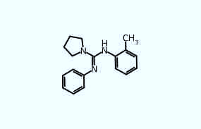 Cc1ccccc1NC(=Nc1ccccc1)N1CCCC1